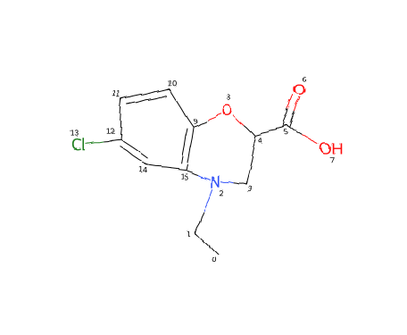 CCN1CC(C(=O)O)Oc2ccc(Cl)cc21